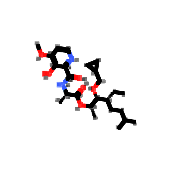 CC[C@H](CCC(C)C)[C@@H](OCC1CC1)[C@H](C)OC(=O)[C@H](C)NC(=O)c1nccc(OC)c1O